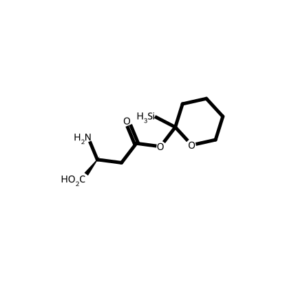 N[C@@H](CC(=O)OC1([SiH3])CCCCO1)C(=O)O